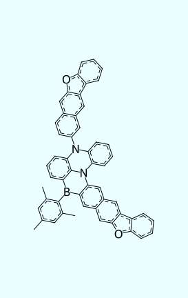 Cc1cc(C)c(B2c3cc4cc5oc6ccccc6c5cc4cc3N3c4ccccc4N(c4ccc5cc6oc7ccccc7c6cc5c4)c4cccc2c43)c(C)c1